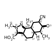 C[C@@H]1C(=O)C(C#N)C[C@]2(C)c3nn(C)c(C(=O)O)c3CC[C@@H]12